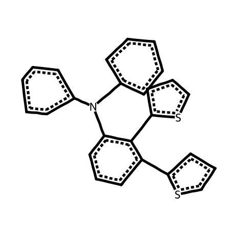 c1ccc(N(c2ccccc2)c2cccc(-c3cccs3)c2-c2cccs2)cc1